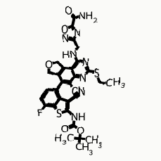 CCSc1nc(NCc2noc(C(N)=O)n2)c2c3c(c(-c4ccc(F)c5sc(NC(=O)OC(C)(C)C)c(C#N)c45)c(Cl)c2n1)COC3